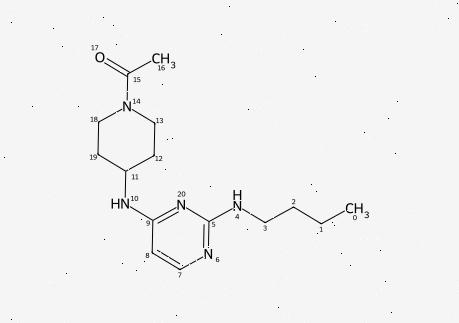 CCCCNc1nccc(NC2CCN(C(C)=O)CC2)n1